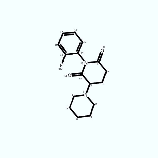 O=C1CCC(N2CCCCC2)C(=O)N1c1ccccc1F